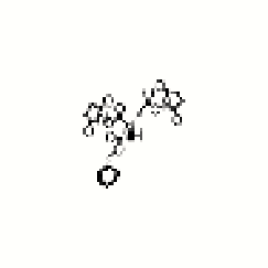 O=C(CC[C@H](NC(=O)OCc1ccccc1)C(=O)ON1C(=O)CCC1=O)ON1C(=O)CCC1=O